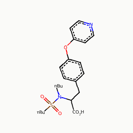 CCCCN(C(Cc1ccc(Oc2ccncc2)cc1)C(=O)O)S(=O)(=O)CCCC